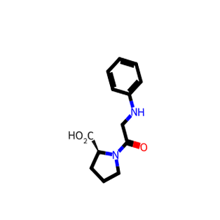 O=C(O)[C@@H]1CCCN1C(=O)CNc1ccccc1